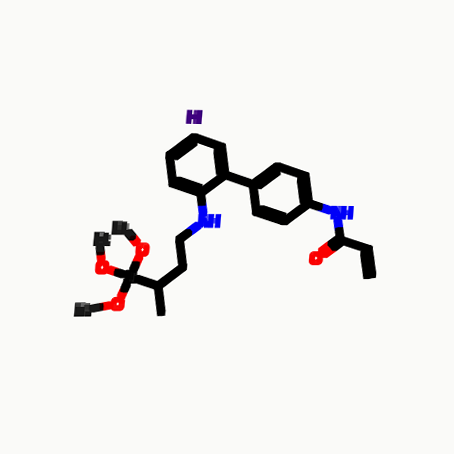 C=CC(=O)Nc1ccc(-c2ccccc2NCCC(C)[Si](OCC)(OCC)OCC)cc1.I